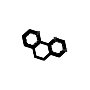 c1cnc2c(c1)CCc1cncnc1-2